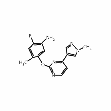 Cc1cc(F)c(N)cc1Oc1nccc(-c2cnn(C)c2)n1